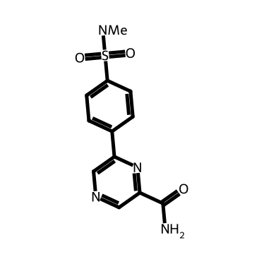 CNS(=O)(=O)c1ccc(-c2cncc(C(N)=O)n2)cc1